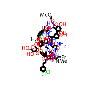 CN[C@H](CC(C)C)C(=O)N[C@H]1C(=O)N[C@@H](CC(N)=O)C(=O)N[C@H]2C(=O)N[C@H]3C(=O)N[C@H](C(=O)N[C@@H](C(=O)NOCCOC)c4cc(O)cc(O)c4-c4cc3ccc4O)[C@H](O)c3ccc(c(Cl)c3)Oc3cc2cc(c3O[C@@H]2O[C@H](CO)[C@@H](O)[C@H](O)[C@H]2O[C@H]2C[C@](C)(NCCn3ccc(NC(=O)/C=C/c4ccc(Cl)c(Cl)c4)nc3=O)[C@H](O)[C@H](C)O2)Oc2ccc(cc2Cl)[C@H]1O